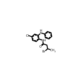 CC(Br)CC(=O)Nc1ccc(Cl)cc1Nc1ccccc1